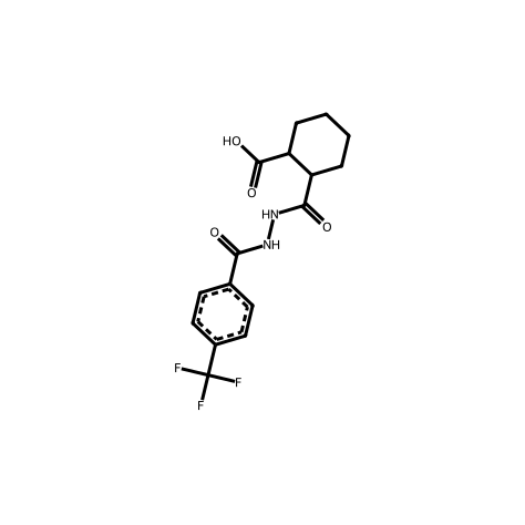 O=C(NNC(=O)C1CCCCC1C(=O)O)c1ccc(C(F)(F)F)cc1